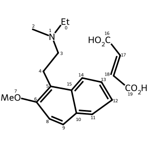 CCN(C)CCc1c(OC)ccc2ccccc12.O=C(O)/C=C/C(=O)O